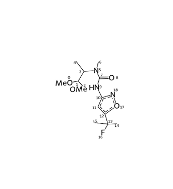 COC(OC)C(C)N(C)C(=O)Nc1cc(C(C)(C)F)on1